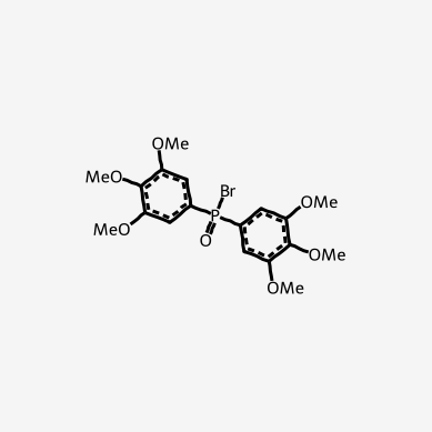 COc1cc(P(=O)(Br)c2cc(OC)c(OC)c(OC)c2)cc(OC)c1OC